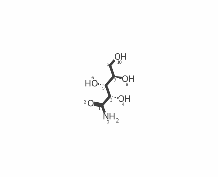 NC(=O)[C@@H](O)[C@H](O)[C@H](O)CO